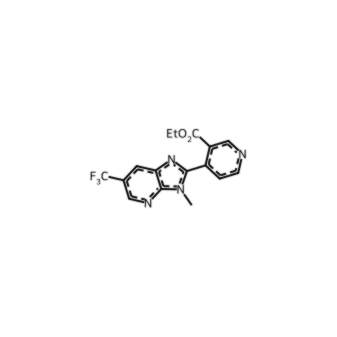 CCOC(=O)c1cnccc1-c1nc2cc(C(F)(F)F)cnc2n1C